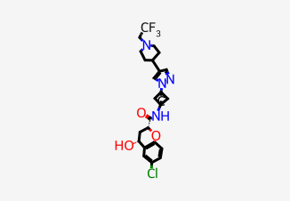 O=C(NC12CC(n3cc(C4CCN(CC(F)(F)F)CC4)cn3)(C1)C2)[C@H]1C[C@@H](O)c2cc(Cl)ccc2O1